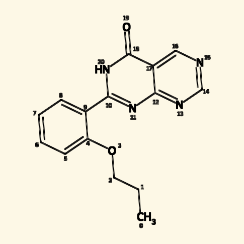 CCCOc1ccccc1-c1nc2ncncc2c(=O)[nH]1